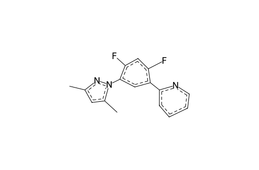 Cc1cc(C)n(-c2cc(-c3ccccn3)c(F)cc2F)n1